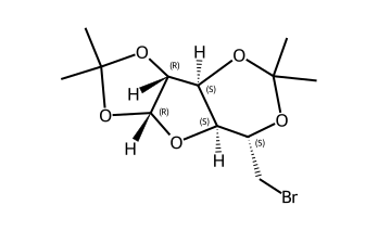 CC1(C)O[C@H]2O[C@H]3[C@H](OC(C)(C)O[C@@H]3CBr)[C@H]2O1